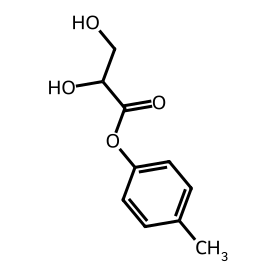 Cc1ccc(OC(=O)C(O)CO)cc1